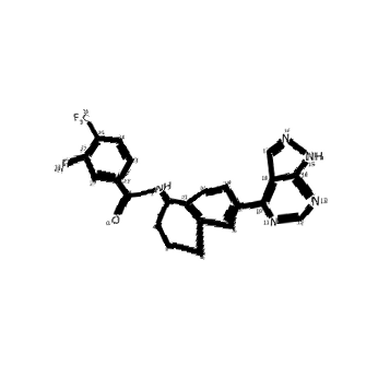 O=C(NC1CCCc2cc(-c3ncnc4[nH]ncc34)ccc21)c1ccc(C(F)(F)F)c(F)c1